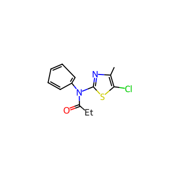 CCC(=O)N(c1ccccc1)c1nc(C)c(Cl)s1